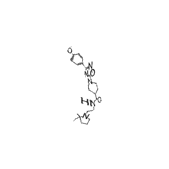 COc1ccc(-c2noc(N3CCC(C(=O)NCCN4CCCC4(C)C)CC3)n2)cc1